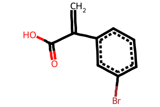 C=C(C(=O)O)c1cccc(Br)c1